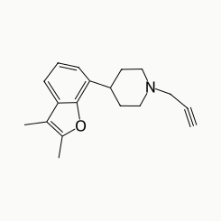 C#CCN1CCC(c2cccc3c(C)c(C)oc23)CC1